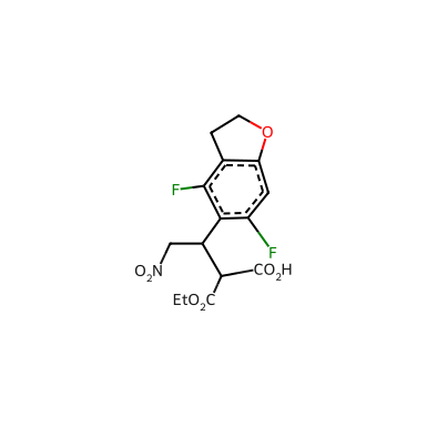 CCOC(=O)C(C(=O)O)C(C[N+](=O)[O-])c1c(F)cc2c(c1F)CCO2